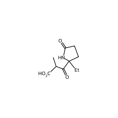 CCC1(C(=O)C(C)C(=O)O)CCC(=O)N1